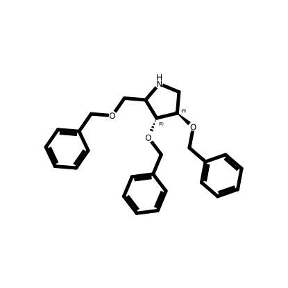 c1ccc(COCC2NC[C@@H](OCc3ccccc3)[C@@H]2OCc2ccccc2)cc1